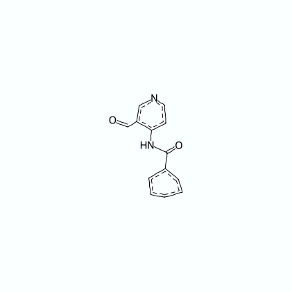 O=Cc1cnccc1NC(=O)c1ccccc1